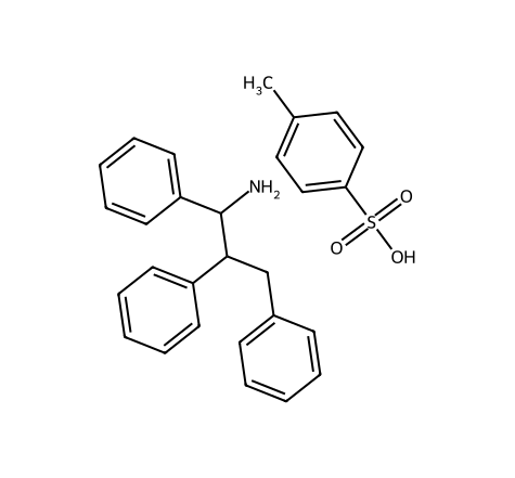 Cc1ccc(S(=O)(=O)O)cc1.NC(c1ccccc1)C(Cc1ccccc1)c1ccccc1